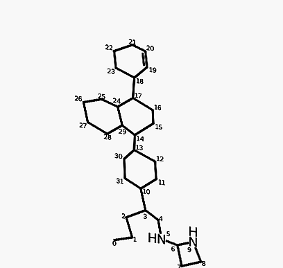 CCCC(CNC1CCN1)C1CCC(C2CCC(C3C=CCCC3)C3CCCCC23)CC1